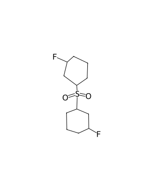 O=S(=O)(C1CCCC(F)C1)C1CCCC(F)C1